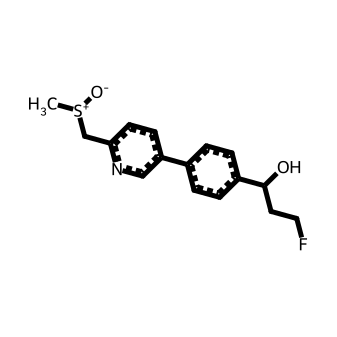 C[S+]([O-])Cc1ccc(-c2ccc(C(O)CCF)cc2)cn1